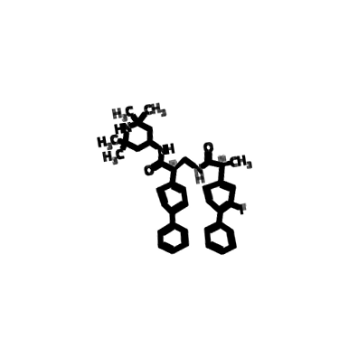 C[C@H](C(=O)NC[C@H](C(=O)NC1CC(C)(C)NC(C)(C)C1)c1ccc(-c2ccccc2)cc1)c1ccc(-c2ccccc2)c(F)c1